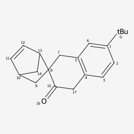 CC(C)(C)c1ccc2c(c1)CC1(CC3C=CC1C3)C(=O)C2